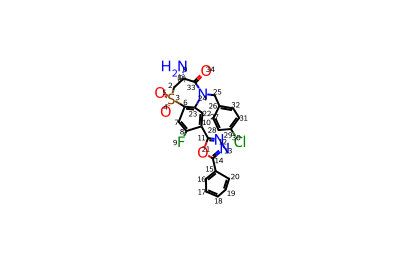 N[C@H]1CS(=O)(=O)c2cc(F)c(-c3nnc(-c4ccccc4)o3)cc2N(Cc2ccc(Cl)cc2)C1=O